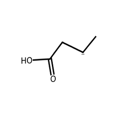 C[C]CC(=O)O